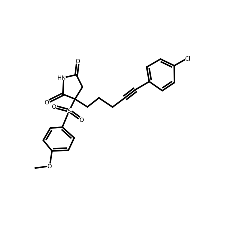 COc1ccc(S(=O)(=O)C2(CCCC#Cc3ccc(Cl)cc3)CC(=O)NC2=O)cc1